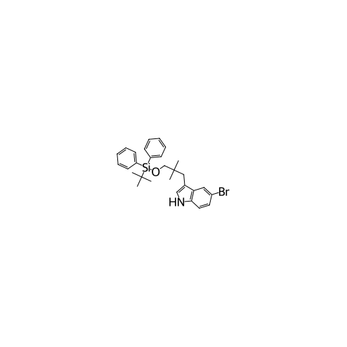 CC(C)(CO[Si](c1ccccc1)(c1ccccc1)C(C)(C)C)Cc1c[nH]c2ccc(Br)cc12